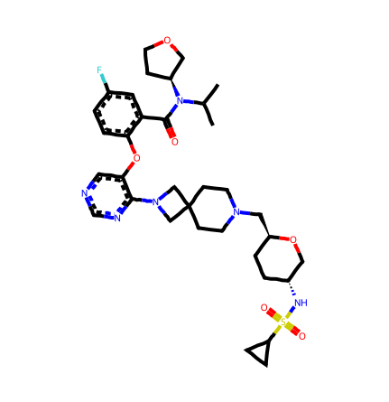 CC(C)N(C(=O)c1cc(F)ccc1Oc1cncnc1N1CC2(CCN(C[C@@H]3CC[C@@H](NS(=O)(=O)C4CC4)CO3)CC2)C1)[C@H]1CCOC1